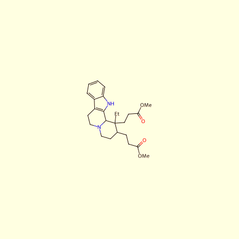 CCC1(CCC(=O)OC)C(CCC(=O)OC)CCN2CCc3c([nH]c4ccccc34)C21